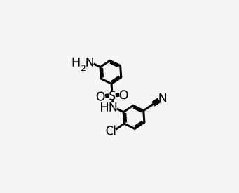 N#Cc1ccc(Cl)c(NS(=O)(=O)c2cccc(N)c2)c1